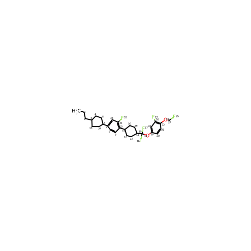 CCCC1CCC(c2ccc(C3CCC(C(F)(F)Oc4ccc(OCF)c(F)c4)CC3)c(F)c2)CC1